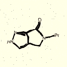 CC(C)N1Cc2c[nH]nc2C1=O